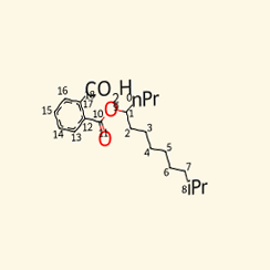 CCCC(CCCCCCC(C)C)OC(=O)c1ccccc1C(=O)O